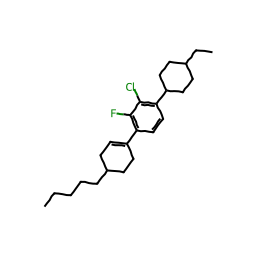 CCCCCC1CC=C(c2ccc(C3CCC(CC)CC3)c(Cl)c2F)CC1